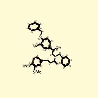 COc1ccc(CCC(C)N(Cc2ccccc2)CC(O)c2ccc(OCc3ccccc3)c(N)c2)cc1OC